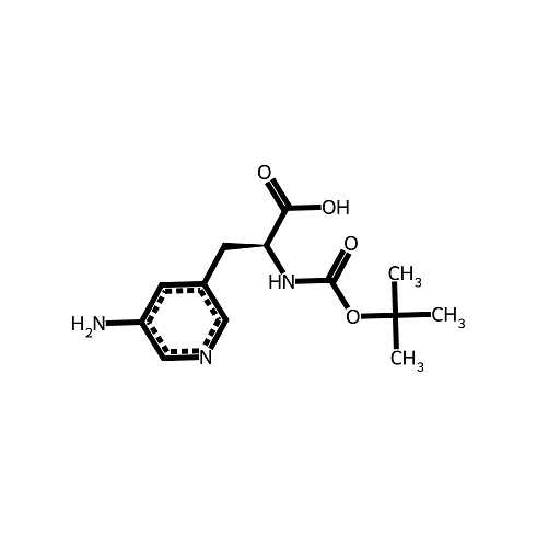 CC(C)(C)OC(=O)N[C@@H](Cc1cncc(N)c1)C(=O)O